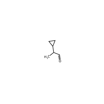 CC(C=O)C1CC1